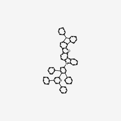 c1ccc(-c2cc(-c3ccccc3)nc(-c3c(-c4ccccc4)cc(-n4c5ccccc5c5c6oc7c8c(ccc7c6ccc54)C(c4ccccc4)c4ccccc4-8)cc3-c3ccccc3)c2)cc1